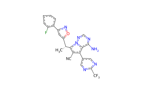 C[C@H](c1cc(-c2ccccc2F)no1)c1c(C#N)c(-c2cnc(C(F)(F)F)nc2)c2c(N)ncnn12